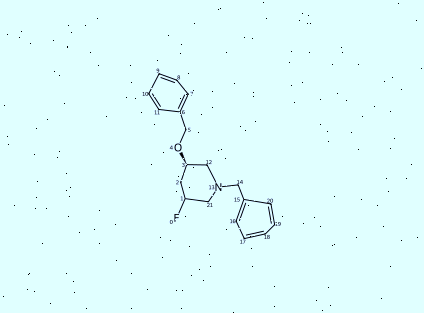 FC1C[C@@H](OCc2ccccc2)CN(Cc2ccccc2)C1